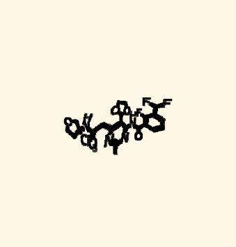 Cc1nc(CC(=O)NC2(C(F)(F)F)CCOC2)c(C2OCCO2)c(NC(=O)c2cccc(C(F)F)c2F)n1